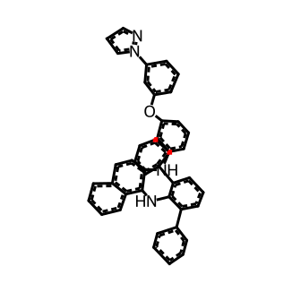 c1ccc(-c2cccc(-c3ccccc3)c2Nc2c(Nc3cccc(Oc4cccc(-n5cccn5)c4)c3)ccc3ccccc23)cc1